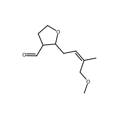 COCC(C)=CCC1OCCC1C=O